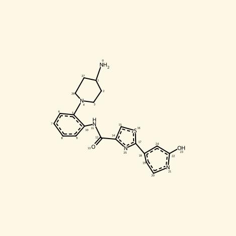 NC1CCN(c2ccccc2NC(=O)c2csc(-c3ccnc(O)c3)n2)CC1